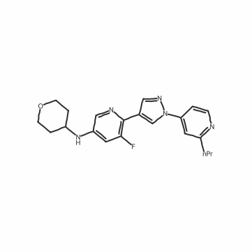 CCCc1cc(-n2cc(-c3ncc(NC4CCOCC4)cc3F)cn2)ccn1